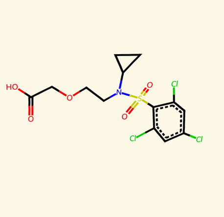 O=C(O)COCCN(C1CC1)S(=O)(=O)c1c(Cl)cc(Cl)cc1Cl